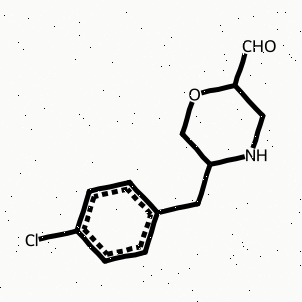 O=CC1CNC(Cc2ccc(Cl)cc2)CO1